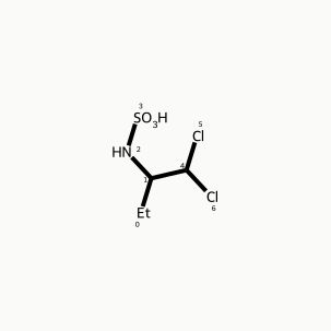 CCC(NS(=O)(=O)O)C(Cl)Cl